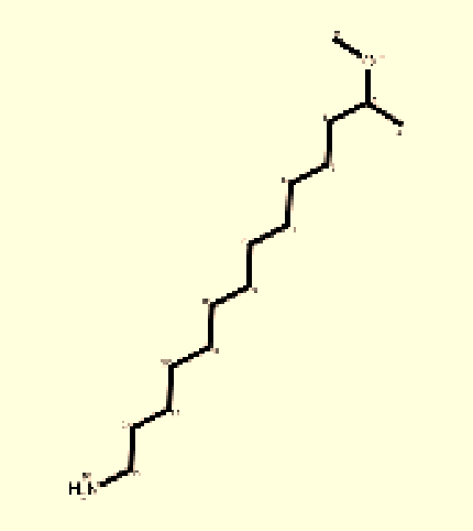 COC(C)CCCCCCCCCCCCN